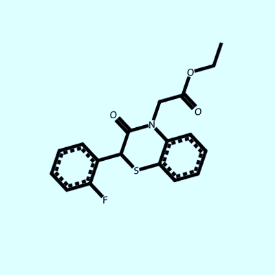 CCOC(=O)CN1C(=O)C(c2ccccc2F)Sc2ccccc21